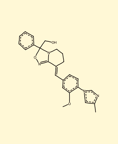 COc1cc(/C=C2\CCCN3C2=NOC3(CO)c2ccccc2)ccc1-n1cnc(C)c1